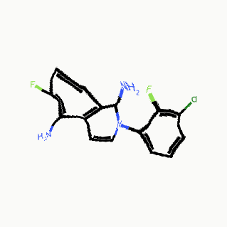 Nc1c(F)ccc2c1C=CN(c1cccc(Cl)c1F)C2N